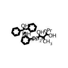 CCCC(O)C(C)C(O)CCC.O=C(O)c1ccccc1.O[PH](O)(c1ccccc1)c1ccccc1